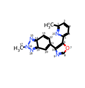 Cc1cccc(-c2ocnc2-c2ccc3nn(C)nc3c2)n1